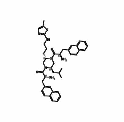 Cc1cnc(NCCC[C@H]2CN(C(=O)[C@H](N)Cc3ccc4ccccc4c3)[C@H](CC(C)C)CN2C(=O)[C@H](N)Cc2ccc3ccccc3c2)s1